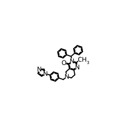 Cc1nc2c(c(=O)n1C(c1ccccc1)c1ccccc1)CN(Cc1ccc(-n3ccnc3)cc1)CC2